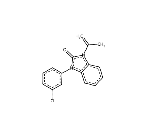 C=C(C)n1c(=O)n(-c2cccc(Cl)c2)c2ccccc21